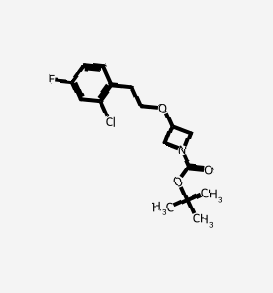 CC(C)(C)OC(=O)N1CC(OCCc2ccc(F)cc2Cl)C1